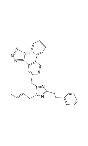 C/C=C/Cn1nc(CCc2ccccc2)nc1Cc1ccc(-c2ccccc2)c(-c2nnn[nH]2)c1